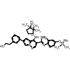 CCc1cc(O[Si](C)(C)C(C)(C)C)ccc1/N=C(\N)c1cnn2cc(-c3cccc(CCO)c3)cc2c1N[C@@H]1CC[C@](C)(N)C1(C)C